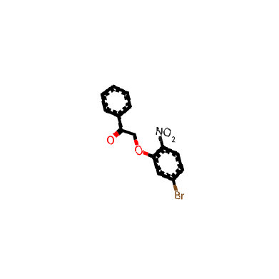 O=C(COc1cc(Br)ccc1[N+](=O)[O-])c1ccccc1